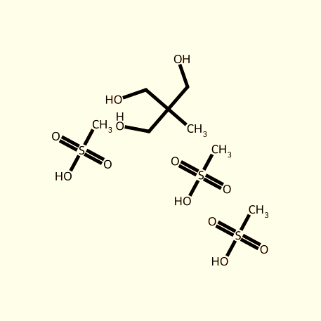 CC(CO)(CO)CO.CS(=O)(=O)O.CS(=O)(=O)O.CS(=O)(=O)O